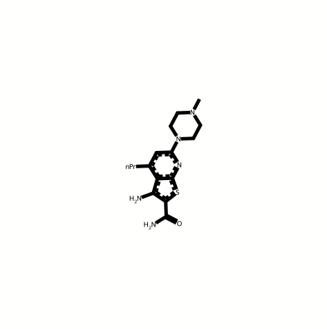 CCCc1cc(N2CCN(C)CC2)nc2sc(C(N)=O)c(N)c12